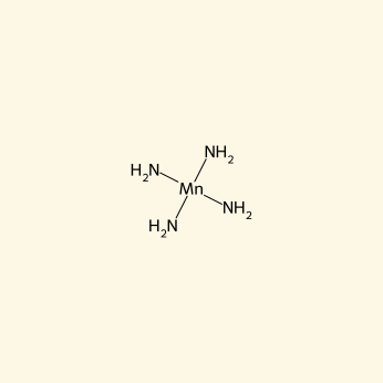 [NH2][Mn]([NH2])([NH2])[NH2]